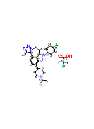 Cc1nnn2c1-c1ccc(C3=CCN(C(C)C)CC3)cc1C(Nc1ccc(Cl)cc1)CC2.O=C(O)C(F)(F)F